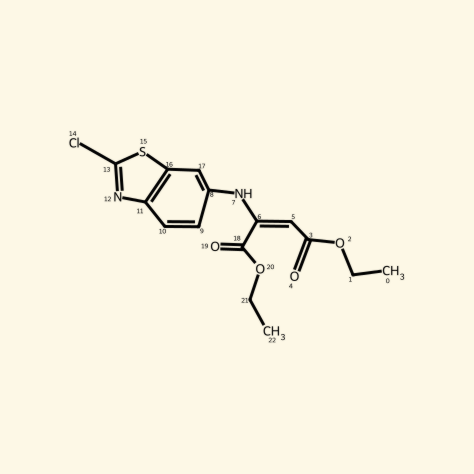 CCOC(=O)C=C(Nc1ccc2nc(Cl)sc2c1)C(=O)OCC